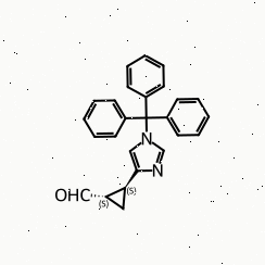 O=C[C@H]1C[C@@H]1c1cn(C(c2ccccc2)(c2ccccc2)c2ccccc2)cn1